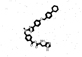 CN(Cc1ccc(C(=O)OC(=O)[C@@H](N)Cc2cnc[nH]2)cc1)c1nc(-c2ccc(OCc3ccc(C4CCCCC4)cc3)cc2)cs1